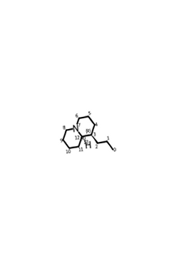 CCC[C@@H]1CCCN2CCCC[C@H]12